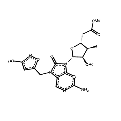 COC(=O)C[C@H]1O[C@@H](n2c(=O)n(Cc3cc(O)no3)c3cnc(N)nc32)[C@H](OC(C)=O)[C@@H]1F